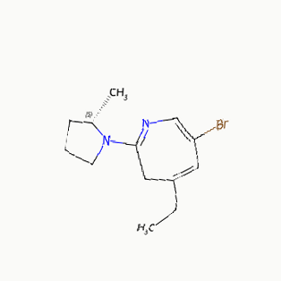 CCC1=CC(Br)=CN=C(N2CCC[C@@H]2C)C1